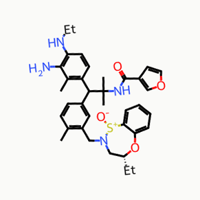 CCNc1ccc(C(c2ccc(C)c(CN3C[C@@H](CC)Oc4ccccc4[S+]3[O-])c2)C(C)(C)NC(=O)c2ccoc2)c(C)c1N